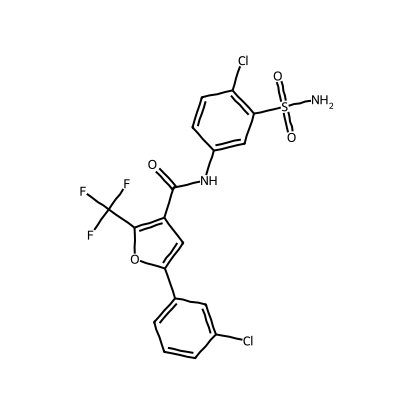 NS(=O)(=O)c1cc(NC(=O)c2cc(-c3cccc(Cl)c3)oc2C(F)(F)F)ccc1Cl